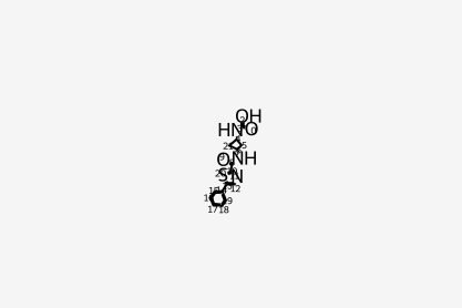 O=C(O)N[C@H]1C[C@H](NC(=O)c2ncc(-c3ccccc3)s2)C1